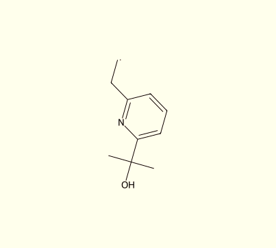 [CH2]Cc1cccc(C(C)(C)O)n1